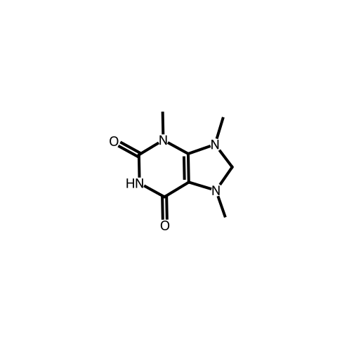 CN1CN(C)c2c1c(=O)[nH]c(=O)n2C